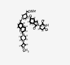 COC[C@@H]1CN(Cc2ccc3nc(N4CCN(C5CN(C)C5)CC4)ccc3c2)C[C@H]1Oc1ccc2c(c1)CN([C@H]1CCC(=O)NC1=O)C2=O